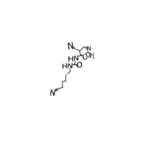 N#CCCCCCNC(=O)NC(=O)C(C#N)/C=N\O